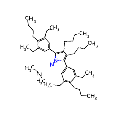 CCCCC1=C(c2cc(CC)c(CCCC)c(CC)c2)[N+](=[N-])C(c2cc(CC)c(CCCC)c(CC)c2)=C1CCCC.[CH3][Ni][CH3]